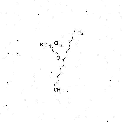 CCCCCCCC(CCCCCCC)OCCN(C)C